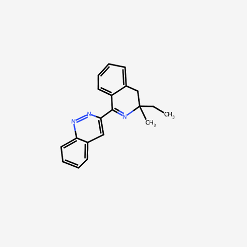 CCC1(C)Cc2ccccc2C(c2cc3ccccc3nn2)=N1